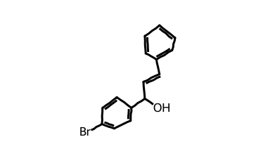 OC(C=Cc1ccccc1)c1ccc(Br)cc1